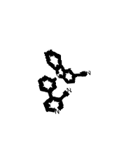 N#Cc1ccc2c(c1)c1ccccc1n2-c1cccc(-c2ccncc2C#N)c1